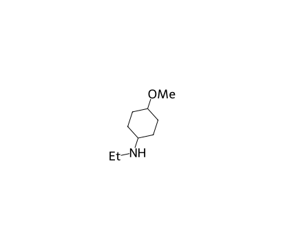 CCNC1CCC(OC)CC1